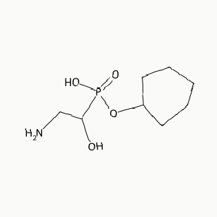 NCC(O)P(=O)(O)OC1CCCCC1